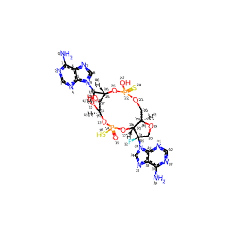 Nc1ncnc2c1ncn2[C@@H]1O[C@@H]2OP(=O)(S)O[C@@H]3[C@@H](COP(O)(=S)O[C@@H]1[C@@H]2O)OC[C@]3(F)n1cnc2c(N)ncnc21